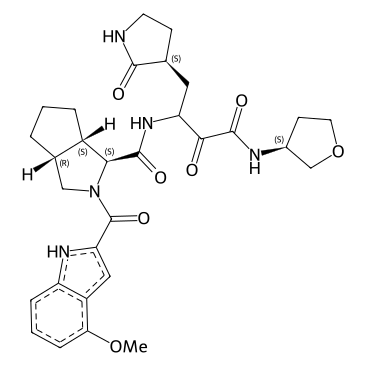 COc1cccc2[nH]c(C(=O)N3C[C@@H]4CCC[C@@H]4[C@H]3C(=O)NC(C[C@@H]3CCNC3=O)C(=O)C(=O)N[C@H]3CCOC3)cc12